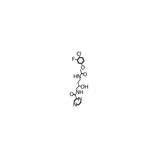 O=C(COc1ccc(Cl)c(F)c1)NCCC(O)CNC(=O)c1cnccn1